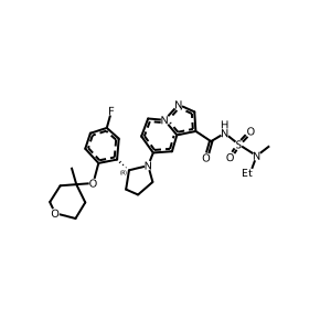 CCN(C)S(=O)(=O)NC(=O)c1cnn2ccc(N3CCC[C@@H]3c3cc(F)ccc3OC3(C)CCOCC3)cc12